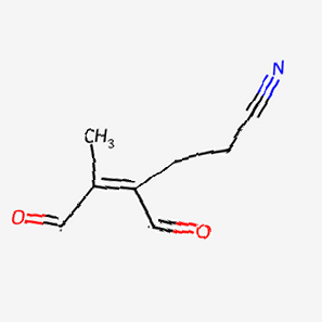 C/C([C]=O)=C(/[C]=O)CCC#N